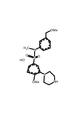 COCc1cccc(N(C)S(=O)(=O)c2ccc(OC)c(N3CCNCC3)c2)c1.Cl